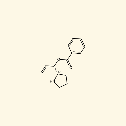 C=CC(OC(=O)c1ccccc1)[C@@H]1CCCN1